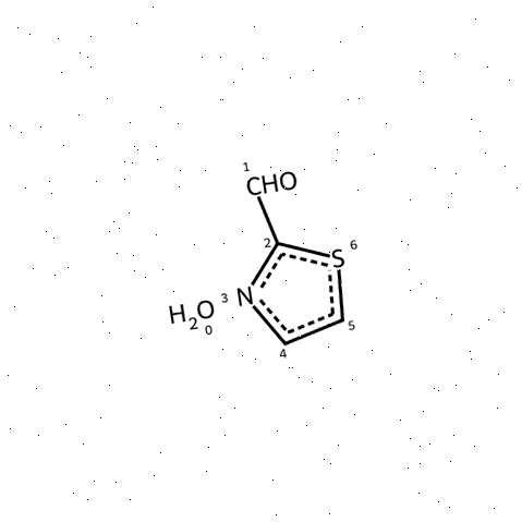 O.O=Cc1nccs1